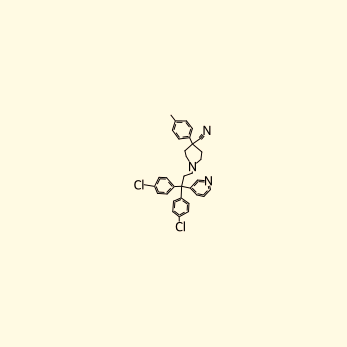 Cc1ccc(C2(C#N)CCN(CCC(c3ccc(Cl)cc3)(c3ccc(Cl)cc3)c3cccnc3)CC2)cc1